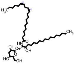 CCCCC/C=C\C/C=C\CCCCCCCCCC(=O)N[C@@H](CO[C@H]1OC(CO)[C@H](O)CC1O)[C@H](O)CCCCCCCCCCCCCCC